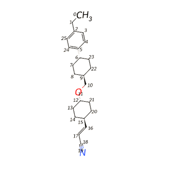 CCc1ccc([C@H]2CC[C@H](CO[C@H]3CC[C@H](/C=C/C#N)CC3)CC2)cc1